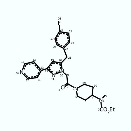 CCOC(=O)N(C)C1CCN(C(=O)Cn2nc(-c3ccncc3)cc2Cc2ccc(F)cc2)CC1